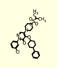 CC(C)S(=O)(=O)N1CCN(c2cnn(-c3cccc(Cl)c3)c(=O)c2OC2CCC(c3ccccc3)CC2)CC1